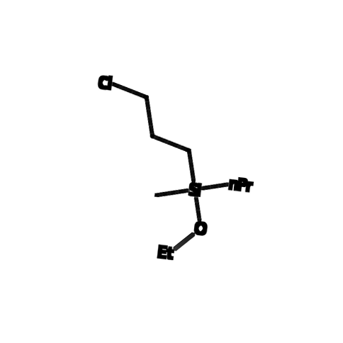 CCC[Si](C)(CCCCl)OCC